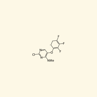 CNc1nc(Cl)ncc1OC1=C(F)C(F)=C(F)C[CH]1